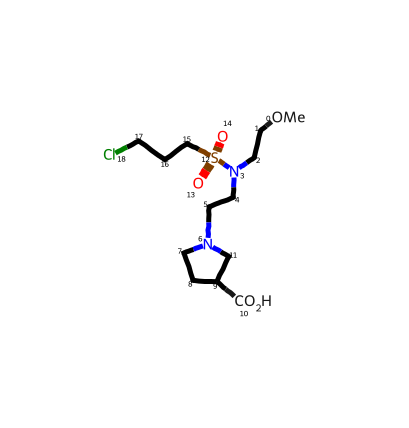 COCCN(CCN1CCC(C(=O)O)C1)S(=O)(=O)CCCCl